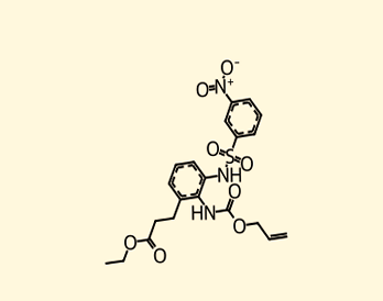 C=CCOC(=O)Nc1c(CCC(=O)OCC)cccc1NS(=O)(=O)c1cccc([N+](=O)[O-])c1